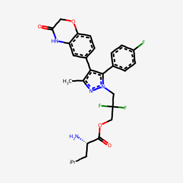 Cc1nn(CC(F)(F)COC(=O)[C@@H](N)CC(C)C)c(-c2ccc(F)cc2)c1-c1ccc2c(c1)NC(=O)CO2